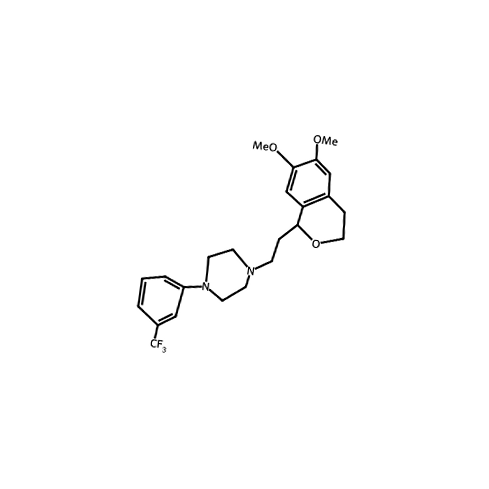 COc1cc2c(cc1OC)C(CCN1CCN(c3cccc(C(F)(F)F)c3)CC1)OCC2